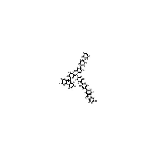 c1ccc(-c2ccc(-c3ccc(N(c4ccc(-c5ccc(-c6ccc7c(c6)oc6ccccc67)cc5)cc4)c4cccc(-n5c6ccccc6c6ccccc65)c4)cc3)cc2)cc1